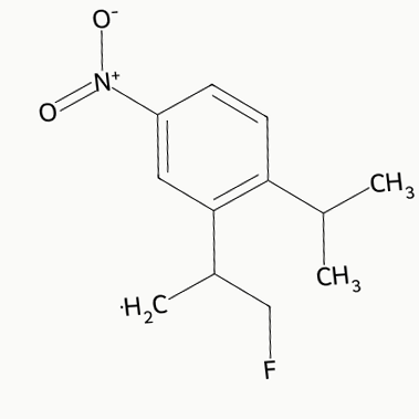 [CH2]C(CF)c1cc([N+](=O)[O-])ccc1C(C)C